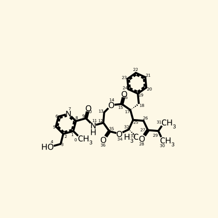 Cc1c(CO)ccnc1C(=O)NC1COC(=O)[C@H](Cc2ccccc2)C(CC(=O)C(C)C)[C@H](C)OC1=O